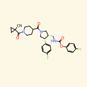 N#CC1(C(=O)N2CCC(C(=O)N3C[C@H](CNC(=O)Oc4ccc(F)cc4)[C@H](c4ccc(F)cc4)C3)CC2)CC1